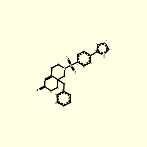 O=C1C=C2CCN(S(=O)(=O)c3ccc(-c4cnco4)cc3)CC2(Cc2ccccc2)CC1